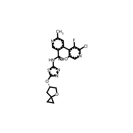 COc1cnc(Cl)c(F)c1-c1cc(C)ncc1C(=O)Nc1nnc(O[C@@H]2COC3(CC3)C2)s1